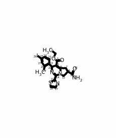 CCOC(=O)C1=C2CC(C(N)=O)CN2C(c2nccs2)=NC1c1ccc(I)cc1C